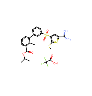 CSc1sc(C(=N)N)cc1S(=O)(=O)c1cccc(-c2cccc(C(=O)OC(C)C)c2C)c1.O=C(O)C(F)(F)F